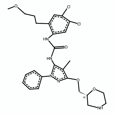 COCCCc1cc(Cl)c(Cl)cc1NC(=O)Nc1c(C)c(OC[C@H]2CNCCO2)nn1-c1ccccc1